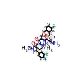 CN1CC(c2ccc(F)c(F)c2)C2(CCCN(C(=O)[C@@H](COCc3ccc(F)cc3)NC(=O)C(C)(C)N)C2)C1=O